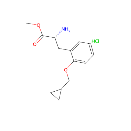 COC(=O)[C@H](N)Cc1ccccc1OCC1CC1.Cl